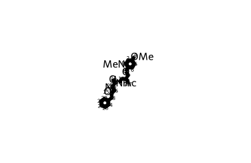 CNc1cc(OC)ccc1OCC(CNC(=O)c1cc(Cc2ccccc2)on1)C(C)=O